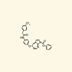 O=C(Cc1ccc(C(F)(F)F)cc1)Nc1ccc(OC2C=c3ccn(C(=O)Oc4ccccc4)c3=NC=N2)cc1